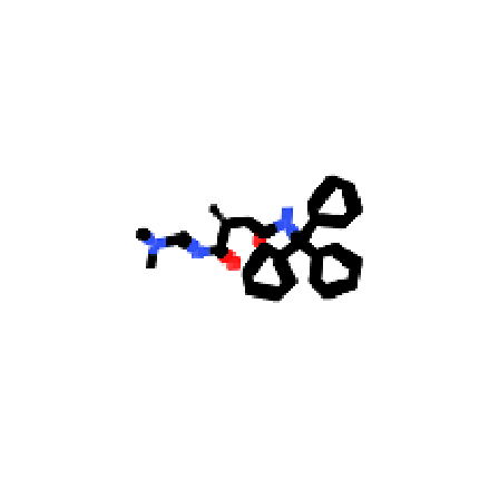 C[C@H](CC(=O)NC(c1ccccc1)(c1ccccc1)c1ccccc1)C(=O)/N=C/N(C)C